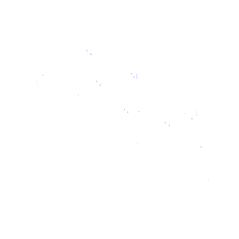 CCN/C(=N\S(=O)(=O)N(C)c1ccccc1)N1CC(CC)C=N1